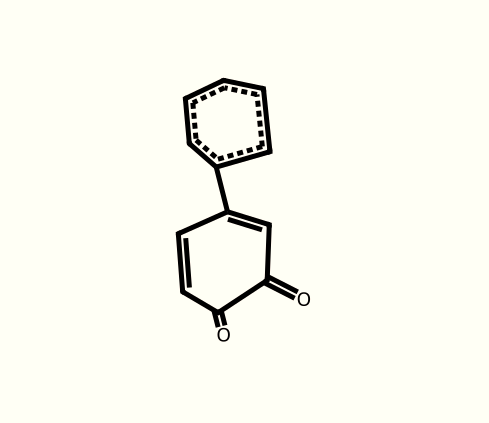 O=C1C=CC(c2ccccc2)=CC1=O